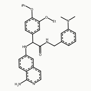 CCOc1cc(C(Nc2ccc3c(N)nccc3c2)C(=O)NCc2cccc(N(C)C)c2)ccc1OC(C)C